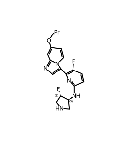 CC(C)Oc1ccn2c(-c3nc(N[C@H]4CNC[C@@H]4F)ccc3F)cnc2c1